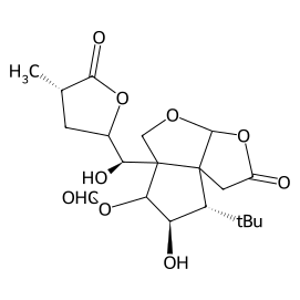 C[C@H]1CC([C@H](O)C23COC4OC(=O)CC42[C@H](C(C)(C)C)[C@@H](O)C3OC=O)OC1=O